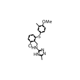 COc1ccc(Sc2cccc(Cl)c2CNc2nnc(C)[nH]2)cc1C